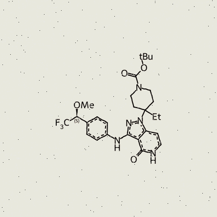 CCC1(n2nc(Nc3ccc([C@H](OC)C(F)(F)F)cc3)c3c(=O)[nH]ccc32)CCN(C(=O)OC(C)(C)C)CC1